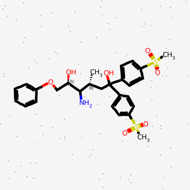 C[C@H](CC(O)(c1ccc(S(C)(=O)=O)cc1)c1ccc(S(C)(=O)=O)cc1)C(N)[C@H](O)COc1ccccc1